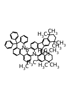 Cc1cc2c3c(c1)N1c4c(ccc5c4C(C)(c4cc6c(cc4-5)C(C)(C)CCC6(C)C)c4c1c(C)cc1c4C(C)(C)CCC1(C)C)B3N1c3ccccc3C(c3ccccc3)(c3ccccc3)c3cccc-2c31